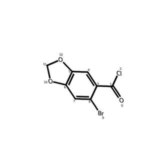 O=C(Cl)c1cc2c(cc1Br)OCO2